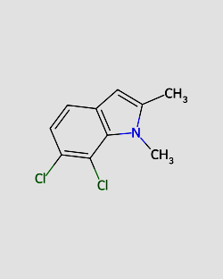 Cc1cc2ccc(Cl)c(Cl)c2n1C